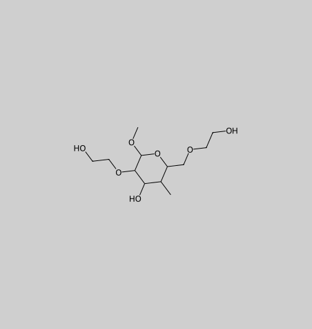 COC1OC(COCCO)C(C)C(O)C1OCCO